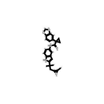 CC1=C(CC(C)(C)c2cc3cc(NC(=O)C4(c5ccc6c(c5)OCO6)CC4)ccc3[nH]2)O1